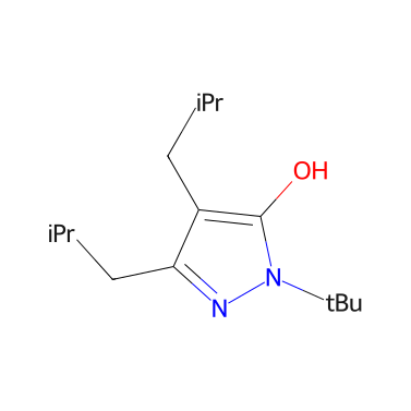 CC(C)Cc1nn(C(C)(C)C)c(O)c1CC(C)C